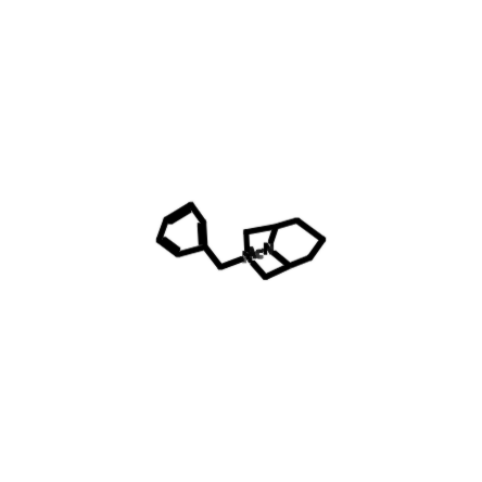 CC(=O)N1C2CCCC1CN(Cc1ccccc1)C2